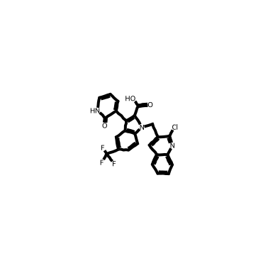 O=C(O)c1c(-c2ccc[nH]c2=O)c2cc(C(F)(F)F)ccc2n1Cc1cc2ccccc2nc1Cl